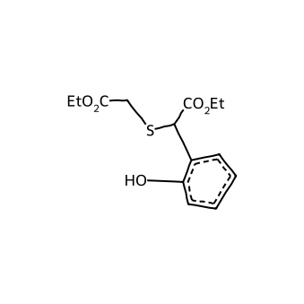 CCOC(=O)CSC(C(=O)OCC)c1ccccc1O